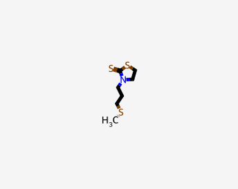 CSCCCN1CCSC1=S